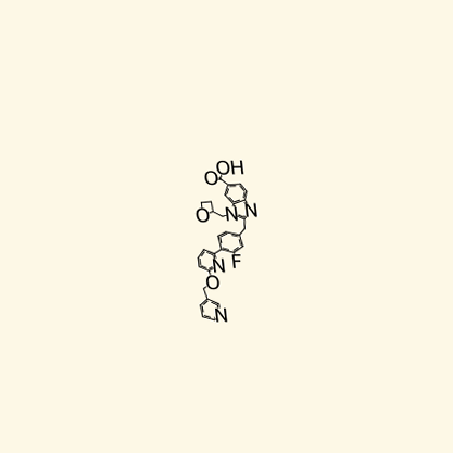 O=C(O)c1ccc2nc(Cc3ccc(-c4cccc(OCc5cccnc5)n4)c(F)c3)n(CC3CCO3)c2c1